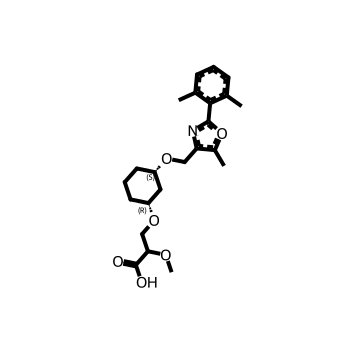 COC(CO[C@@H]1CCC[C@H](OCc2nc(-c3c(C)cccc3C)oc2C)C1)C(=O)O